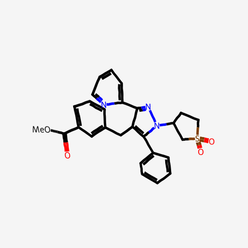 COC(=O)c1cccc(Cc2c(-c3ccccn3)nn(C3CCS(=O)(=O)C3)c2-c2ccccc2)c1